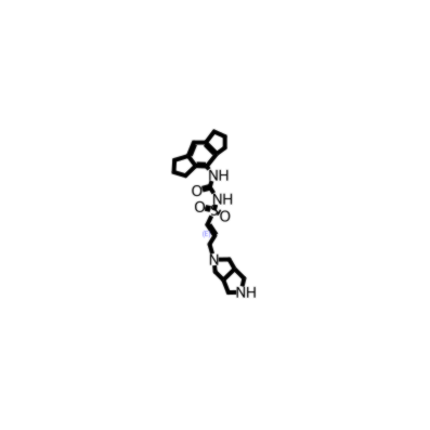 O=C(Nc1c2c(cc3c1CCC3)CCC2)NS(=O)(=O)/C=C/CN1CC2CNCC2C1